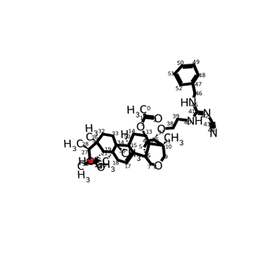 CC(=O)O[C@@H]1C[C@@]23COC[C@@](C)(C2CC[C@H]2C3=CC[C@@]3(C)[C@H](C(=O)O)[C@@](C)([C@H](C)C(C)C)CC[C@]23C)[C@H]1OCCN/C(=N\C#N)NCc1ccccc1